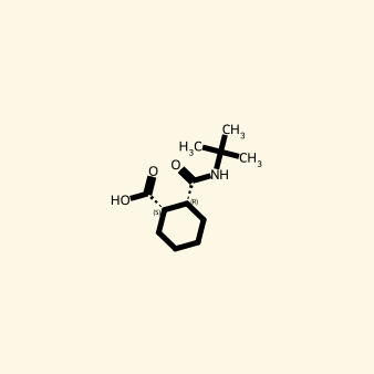 CC(C)(C)NC(=O)[C@@H]1CCCC[C@@H]1C(=O)O